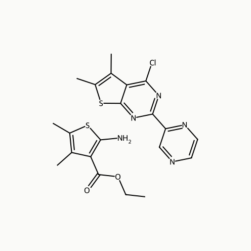 CCOC(=O)c1c(N)sc(C)c1C.Cc1sc2nc(-c3cnccn3)nc(Cl)c2c1C